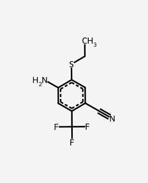 CCSc1cc(C#N)c(C(F)(F)F)cc1N